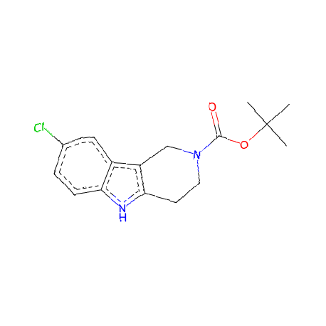 CC(C)(C)OC(=O)N1CCc2[nH]c3ccc(Cl)cc3c2C1